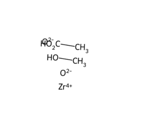 CC(=O)O.CO.[O-2].[O-2].[Zr+4]